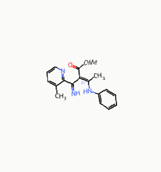 COC(=O)/C(C(=N)c1ncccc1C)=C(\C)Nc1ccccc1